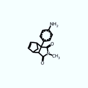 CN1C(=O)C2C3C=CC(C3)C2(c2ccc(N)cc2)C1=O